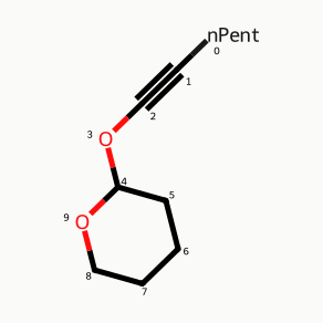 CCCCCC#COC1CCCCO1